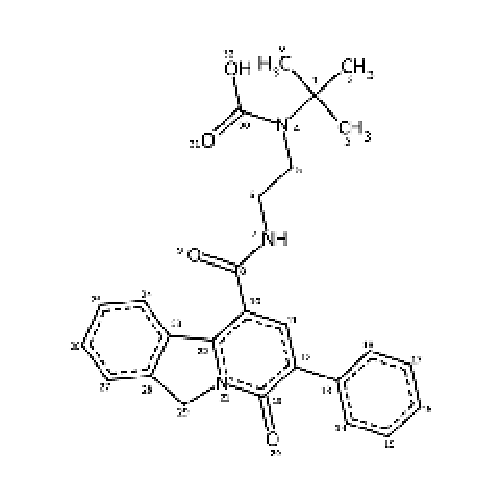 CC(C)(C)N(CCNC(=O)c1cc(-c2ccccc2)c(=O)n2c1-c1ccccc1C2)C(=O)O